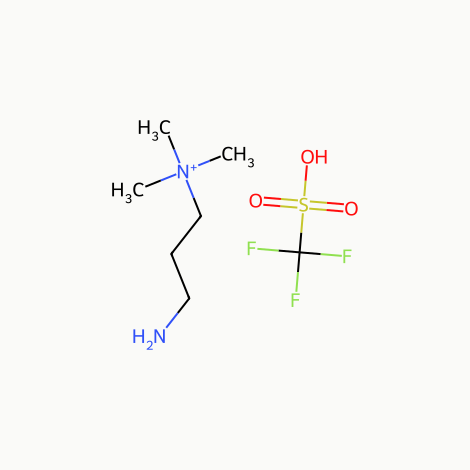 C[N+](C)(C)CCCN.O=S(=O)(O)C(F)(F)F